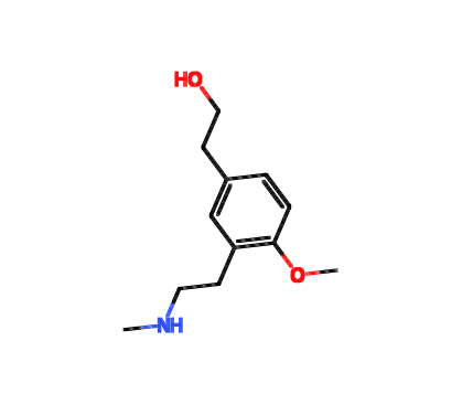 CNCCc1cc(CCO)ccc1OC